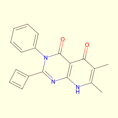 Cc1[nH]c2nc(C3=CC=C3)n(-c3ccccc3)c(=O)c2c(=O)c1C